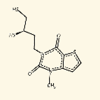 Cn1c(=O)n(CC[C@@H](S)CS)c(=O)c2sccc21